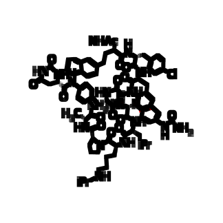 CC(=O)N[C@H](CCc1ccc2ccccc2c1)C(=O)N[C@H](Cc1ccc(Cl)cc1)C(=O)NC(Cc1cccnc1)C(=O)N[C@@H](CO)C(=O)N[C@@H](Cc1ccc(NC(=O)[C@@H]2CC(=O)NC(=O)N2)cc1)C(=O)N[C@H](Cc1ccc(NC(N)=O)cc1)C(=O)N[C@@H](CC(C)C)C(=O)N[C@@H](CCCCNC(C)C)C(=O)N1CCC[C@H]1C(=O)N[C@H](C)C(N)=O